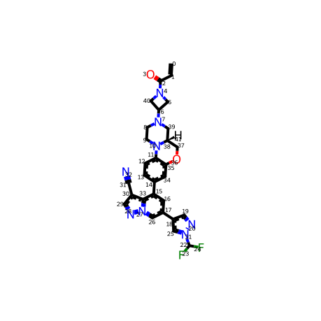 C=CC(=O)N1CC(N2CCN3c4ccc(-c5cc(-c6cnn(C(F)F)c6)cn6ncc(C#N)c56)cc4OC[C@H]3C2)C1